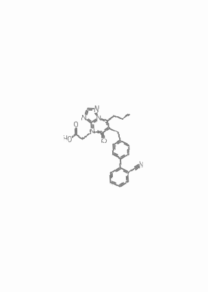 CCCc1c(Cc2ccc(-c3ccccc3C#N)cc2)c(=O)n(CC(=O)O)c2ncnn12